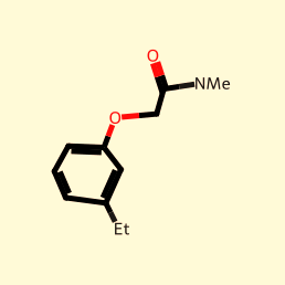 CCc1cccc(OCC(=O)NC)c1